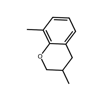 Cc1cccc2c1OCC(C)C2